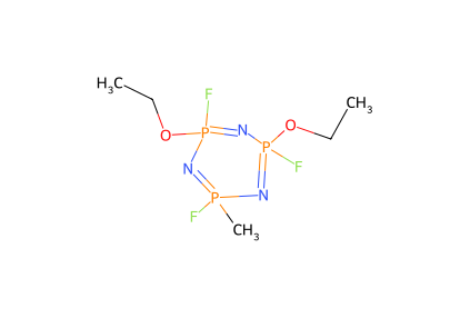 CCOP1(F)=NP(C)(F)=NP(F)(OCC)=N1